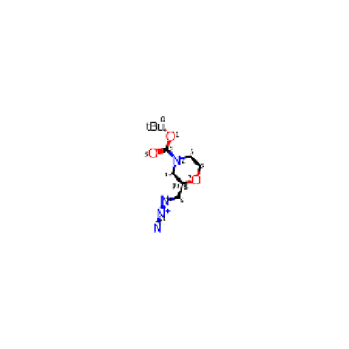 CC(C)(C)OC(=O)N1CCO[C@@H](CN=[N+]=[N-])C1